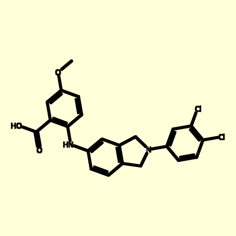 COc1ccc(Nc2ccc3c(c2)CN(c2ccc(Cl)c(Cl)c2)C3)c(C(=O)O)c1